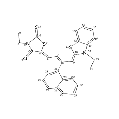 CCN1C(=O)/C(=C/C=C(/C=C2\Sc3ccccc3N2CC)c2cccc3ccccc23)SC1=S